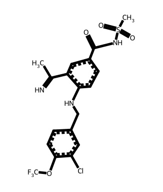 CC(=N)c1cc(C(=O)NS(C)(=O)=O)ccc1NCc1ccc(OC(F)(F)F)c(Cl)c1